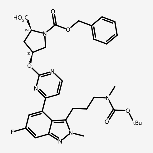 CN(CCCc1c2c(-c3ccnc(O[C@H]4C[C@@H](C(=O)O)N(C(=O)OCc5ccccc5)C4)n3)cc(F)cc2nn1C)C(=O)OC(C)(C)C